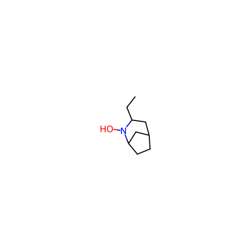 CCC1CC2CCC(C2)N1O